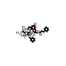 C[C@H](N)C(=O)N[C@H](C(=O)N1CCC[C@H]1/C=C/[C@](C)(COC(=O)CCc1ccccc1)Cc1cccc(Cl)c1)[C@@H](C)OCc1ccccc1